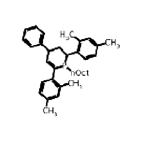 CCCCCCCCP1C(c2ccc(C)cc2C)=CC(c2ccccc2)CC1c1ccc(C)cc1C